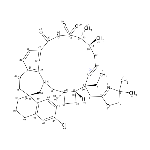 CC[C@]1(CC2=NC(C)(C)CO2)/C=C/C[C@H](C)[C@@H](C)S(=O)(=O)NC(=O)c2ccc3c(c2)N(C[C@@H]2CC[C@H]21)C[C@@]1(CCCc2cc(Cl)ccc21)CO3